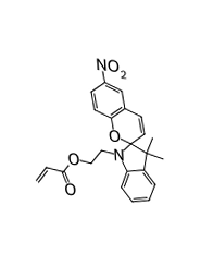 C=CC(=O)OCCN1c2ccccc2C(C)(C)C12C=Cc1cc([N+](=O)[O-])ccc1O2